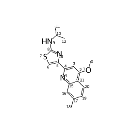 COc1cc(-c2csc(NC(C)C)n2)nc2cc(C)ccc12